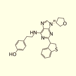 Oc1ccc(CCNc2nc(C3CSc4ccccc43)nc3c2ncn3[C@@H]2CCOC2)cc1